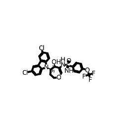 N=S(=O)(NC1=COCC[C@@H](n2c3ccc(Cl)cc3c3cc(Cl)ccc32)[C@H]1O)c1ccc(OC(F)(F)F)cc1